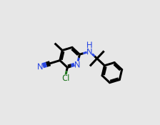 Cc1cc(NC(C)(C)c2ccccc2)nc(Cl)c1C#N